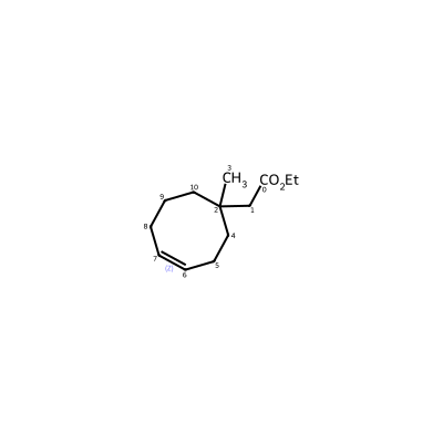 CCOC(=O)CC1(C)CC/C=C\CCC1